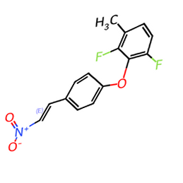 Cc1ccc(F)c(Oc2ccc(/C=C/[N+](=O)[O-])cc2)c1F